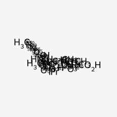 CC(C)C1=C2[C@H]3CC[C@@H]4[C@@]5(C)CC[C@H](OC(=O)[C@H]6C[C@@H](C(=O)O)C6(C)C)C(C)(C)[C@@H]5CC[C@@]4(C)[C@]3(C)CC[C@@]2(NC(=O)C(C)(C)NC(=O)c2ccc(N3CCN(C)CC3)cc2)CC1=O